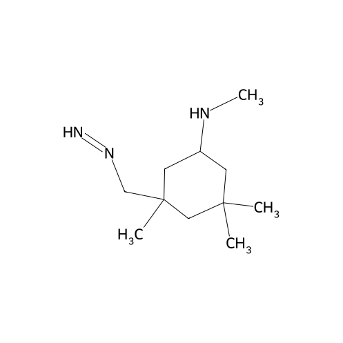 CNC1CC(C)(C)CC(C)(CN=N)C1